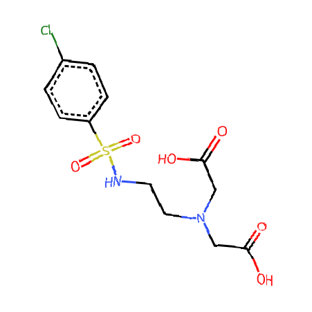 O=C(O)CN(CCNS(=O)(=O)c1ccc(Cl)cc1)CC(=O)O